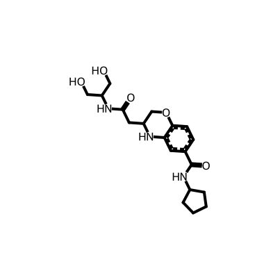 O=C(CC1COc2ccc(C(=O)NC3CCCC3)cc2N1)NC(CO)CO